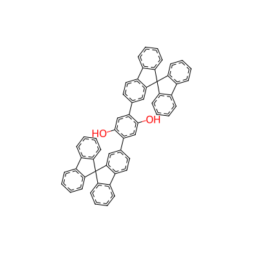 Oc1cc(-c2ccc3c(c2)C2(c4ccccc4-c4ccccc42)c2ccccc2-3)c(O)cc1-c1ccc2c(c1)C1(c3ccccc3-c3ccccc31)c1ccccc1-2